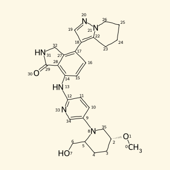 CO[C@@H]1CCC(CO)N(c2ccc(Nc3ccc(-c4cnn5c4CCCC5)c4c3C(=O)NC4)nc2)C1